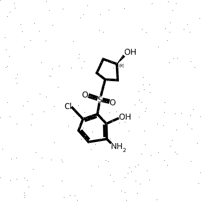 Nc1ccc(Cl)c(S(=O)(=O)C2CC[C@@H](O)C2)c1O